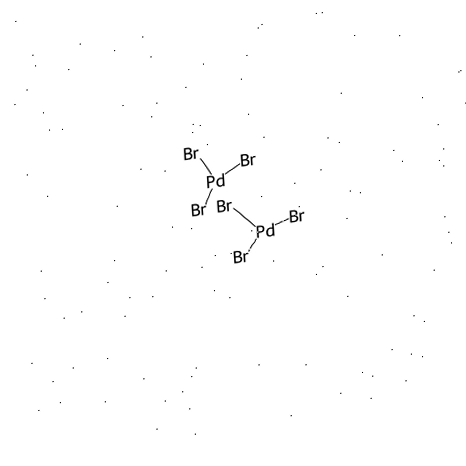 [Br][Pd]([Br])[Br].[Br][Pd]([Br])[Br]